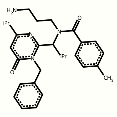 Cc1ccc(C(=O)N(CCCN)C(c2nc(C(C)C)cc(=O)n2Cc2ccccc2)C(C)C)cc1